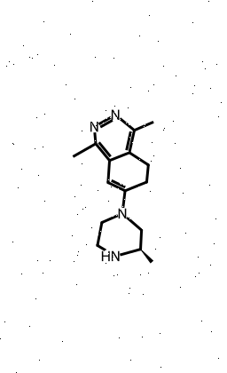 Cc1nnc(C)c2c1C=C(N1CCN[C@H](C)C1)CC2